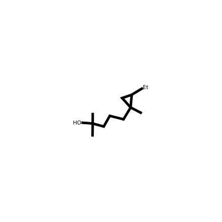 CCC1CC1(C)CCCC(C)(C)O